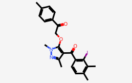 Cc1ccc(C(=O)COc2c(C(=O)c3ccc(C)c(C)c3I)c(C)nn2C)cc1